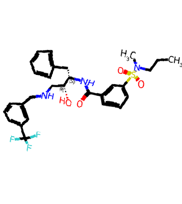 CCCN(C)S(=O)(=O)c1cccc(C(=O)N[C@@H](Cc2ccccc2)[C@H](O)CNCc2cccc(C(F)(F)F)c2)c1